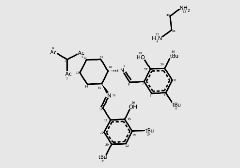 CC(=O)C(C(C)=O)C(C)=O.CC(C)(C)c1cc(C=N[C@H]2CCCC[C@@H]2N=Cc2cc(C(C)(C)C)cc(C(C)(C)C)c2O)c(O)c(C(C)(C)C)c1.NCCN